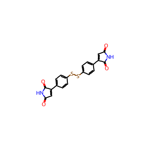 O=C1C=C(c2ccc(SSc3ccc(C4=CC(=O)NC4=O)cc3)cc2)C(=O)N1